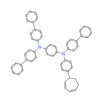 C1=CCCC(c2ccc(N(c3ccc(-c4ccccc4)cc3)c3ccc(N(c4ccc(-c5ccccc5)cc4)c4ccc(-c5ccccc5)cc4)cc3)cc2)C=C1